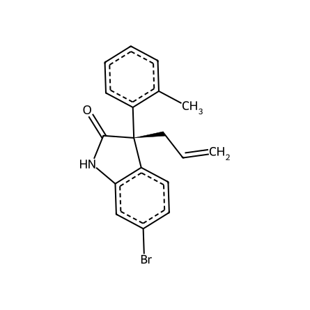 C=CC[C@]1(c2ccccc2C)C(=O)Nc2cc(Br)ccc21